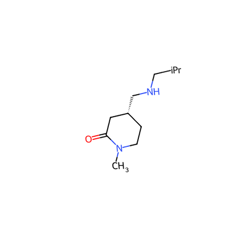 CC(C)CNC[C@@H]1CCN(C)C(=O)C1